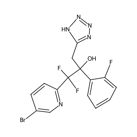 OC(Cc1nnn[nH]1)(c1ccccc1F)C(F)(F)c1ccc(Br)cn1